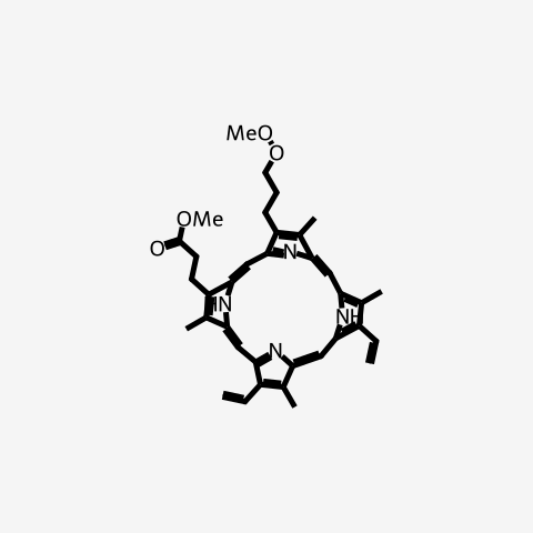 C=CC1=C(C)c2cc3[nH]c(cc4nc(cc5[nH]c(cc1n2)c(C)c5CCC(=O)OC)C(CCCOOC)=C4C)c(C)c3C=C